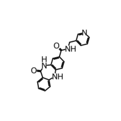 O=C(NCc1cccnc1)c1ccc2c(c1)NC(=O)c1ccccc1N2